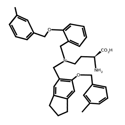 Cc1cccc(COc2ccccc2CN(CC[C@H](N)C(=O)O)Cc2cc3c(cc2OCc2cccc(C)c2)CCC3)c1